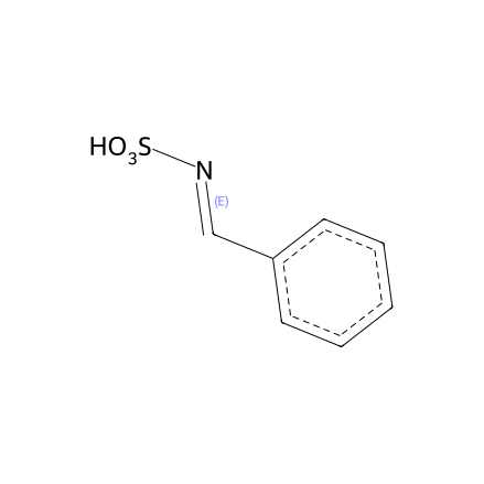 O=S(=O)(O)/N=C/c1ccccc1